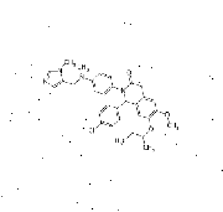 CCC(C)Oc1cc2c(cc1OC)CC(=O)N(c1ccc(N(C)Cc3cncn3C)cc1)C2c1ccc(Cl)cc1